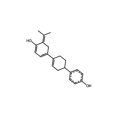 CC(C)=C1CC(C2=CCC(c3ccc(O)cc3)CC2)=CC=C1O